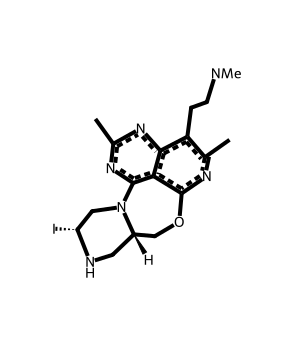 CNCCc1c(C)nc2c3c(nc(C)nc13)N1C[C@@H](I)NC[C@H]1CO2